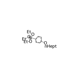 CCCCCCCOc1ccc([Si](OCC)(OCC)OCC)cc1